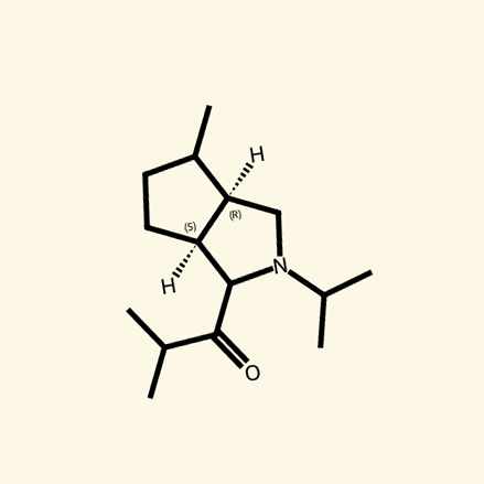 CC(C)C(=O)C1[C@H]2CCC(C)[C@H]2CN1C(C)C